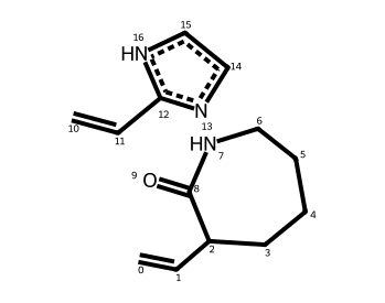 C=CC1CCCCNC1=O.C=Cc1ncc[nH]1